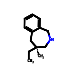 CC[C@]1(C)CNCc2ccccc2C1